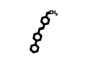 C=CC1CCC(/C=C/C2CCC(C3CCCCC3)CC2)CC1